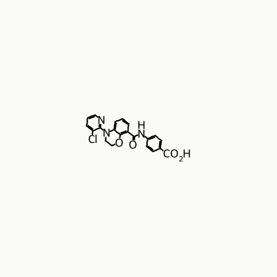 O=C(O)c1ccc(NC(=O)c2cccc3c2OCCN3c2ncccc2Cl)cc1